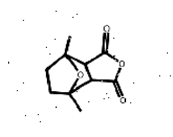 CC12CCC(C)(O1)C1C(=O)OC(=O)C12